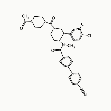 CC(=O)N1CCC(C(=O)N2CC[C@@H](N(C)C(=O)c3ccc(-c4ccc(C#N)cc4)cc3)[C@H](c3ccc(Cl)c(Cl)c3)C2)CC1